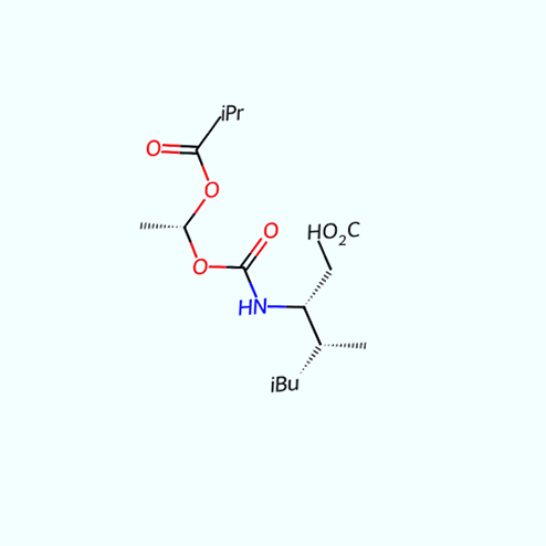 CC[C@@H](C)[C@@H](C)[C@@H](CC(=O)O)NC(=O)O[C@H](C)OC(=O)C(C)C